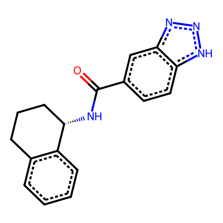 O=C(N[C@H]1CCCc2ccccc21)c1ccc2[nH]nnc2c1